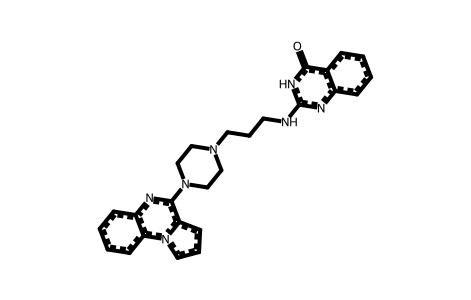 O=c1[nH]c(NCCCN2CCN(c3nc4ccccc4n4cccc34)CC2)nc2ccccc12